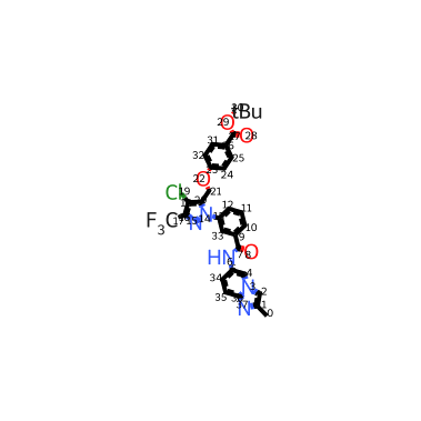 Cc1cn2cc(NC(=O)c3cccc(-n4nc(C(F)(F)F)c(Cl)c4COc4ccc(C(=O)OC(C)(C)C)cc4)c3)ccc2n1